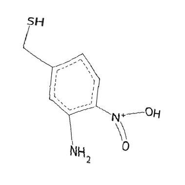 Nc1cc(CS)ccc1[N+](=O)O